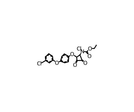 CCOC(=O)N(Cl)C1C(=O)C(=O)C1Oc1ccc(Oc2cccc(Cl)c2)cc1